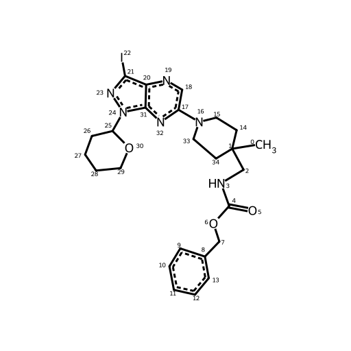 CC1(CNC(=O)OCc2ccccc2)CCN(c2cnc3c(I)nn(C4CCCCO4)c3n2)CC1